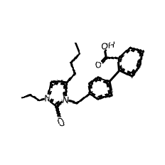 CCCCc1cn(CCC)c(=O)n1Cc1ccc(-c2ccccc2C(=O)O)cc1